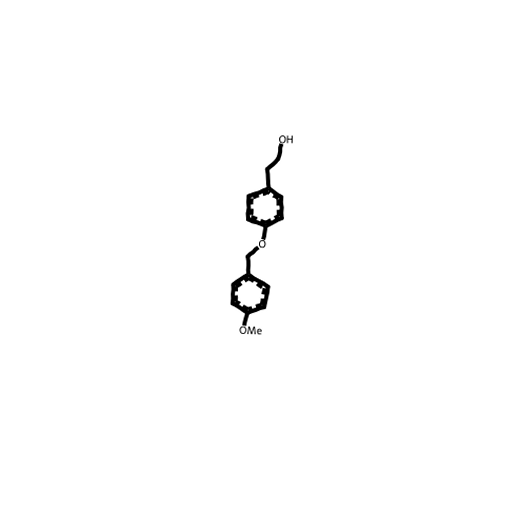 COc1ccc(COc2ccc(CCO)cc2)cc1